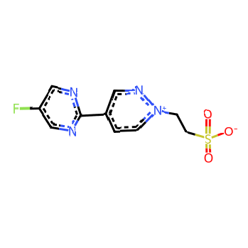 O=S(=O)([O-])CC[n+]1ccc(-c2ncc(F)cn2)cn1